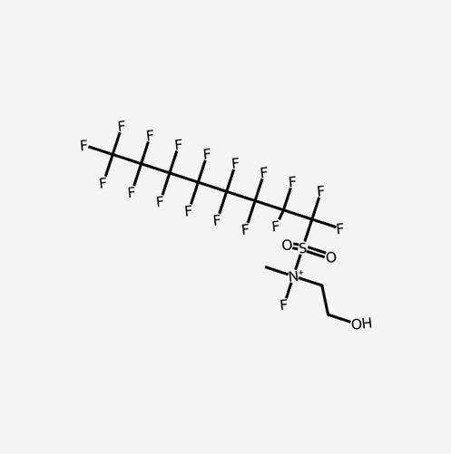 C[N+](F)(CCO)S(=O)(=O)C(F)(F)C(F)(F)C(F)(F)C(F)(F)C(F)(F)C(F)(F)C(F)(F)C(F)(F)F